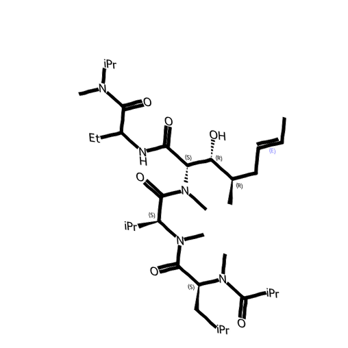 C/C=C/C[C@@H](C)[C@@H](O)[C@@H](C(=O)NC(CC)C(=O)N(C)C(C)C)N(C)C(=O)[C@H](C(C)C)N(C)C(=O)[C@H](CC(C)C)N(C)C(=O)C(C)C